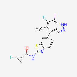 Cc1c(F)c(I)c2[nH]ncc2c1-c1ccc2nc(NC(=O)[C@@H]3C[C@@H]3F)sc2c1